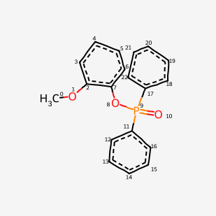 COc1ccccc1OP(=O)(c1ccccc1)c1ccccc1